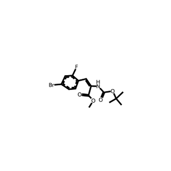 COC(=O)/C(=C\c1ccc(Br)cc1F)NC(=O)OC(C)(C)C